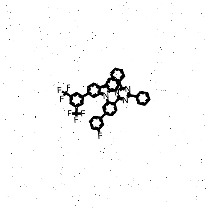 Fc1cccc(-c2ccc(-c3nc(-c4ccccc4)nc(-c4ccccc4)n3)c(-n3c4ccccc4c4ccc(-c5cc(C(F)(F)F)cc(C(F)(F)F)c5)cc43)c2)c1